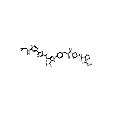 O=C(Nc1cn(-c2ccc(CNC(=O)[C@@H]3C[C@@H](OC(=O)[C@@H]4CCCN4C(=O)O)CN3)cc2)nc1C(F)F)c1coc(-c2ccnc(NCC3CC3)c2)n1